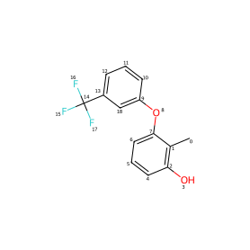 Cc1c(O)cccc1Oc1cccc(C(F)(F)F)c1